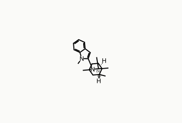 C[C@@H]1CC2(C)CCC1(C)[C@H](C)N2c1cc2ccccc2n1C